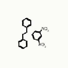 O=[N+]([O-])c1cccc([N+](=O)[O-])c1.c1ccc(CCc2ccccc2)cc1